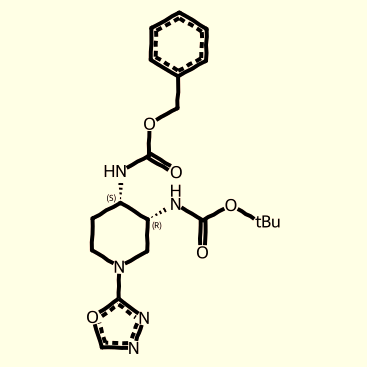 CC(C)(C)OC(=O)N[C@@H]1CN(c2nnco2)CC[C@@H]1NC(=O)OCc1ccccc1